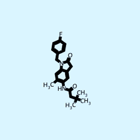 Cc1cc2c(cc1NC(=O)CC(C)(C)C)CC(=O)N2Cc1ccc(F)cc1